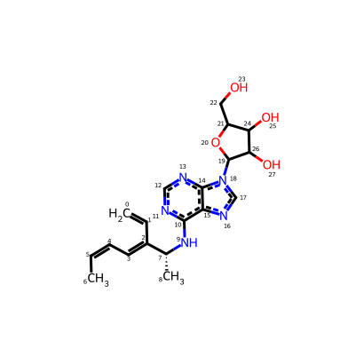 C=C/C(=C\C=C/C)[C@@H](C)Nc1ncnc2c1ncn2C1OC(CO)C(O)C1O